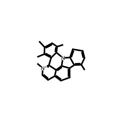 Cc1cc(C)c2c(c1C)c1c3c(ccc4c5c(C)cccc5n2c43)cc[n+]1C